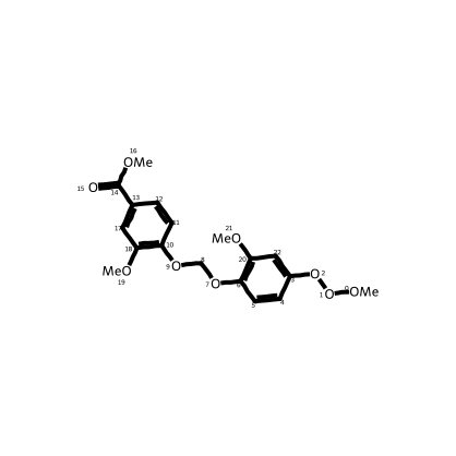 COOOc1ccc(OCOc2ccc(C(=O)OC)cc2OC)c(OC)c1